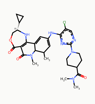 CC1C=C(Nc2nc(N3CCC(C(=O)N(C)C)CC3)ncc2Cl)C=C2C3=C(C(=O)OC[C@H](C4CC4)N3)C(=O)N(C)C21